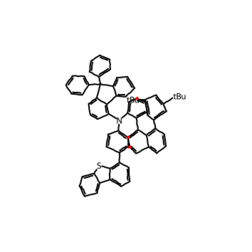 CC(C)(C)c1cc(-c2cccc3cccc(-c4ccccc4N(c4ccc(-c5cccc6c5sc5ccccc56)cc4)c4cccc5c4-c4ccccc4C5(c4ccccc4)c4ccccc4)c23)cc(C(C)(C)C)c1